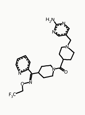 Nc1ncc(CN2CCC(C(=O)N3CCC(C(=NOCC(F)(F)F)c4ccccn4)CC3)CC2)cn1